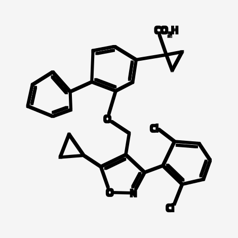 O=C(O)C1(c2ccc(-c3ccccc3)c(OCc3c(-c4c(Cl)cccc4Cl)noc3C3CC3)c2)CC1